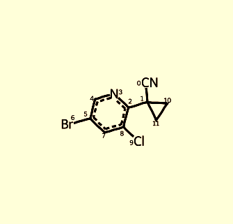 N#CC1(c2ncc(Br)cc2Cl)CC1